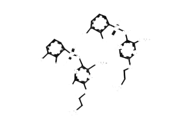 COc1nc(OCCN)cnc1NS(=O)(=O)c1cccc(Cl)c1Cl.COc1nc(SCCN)c(Cl)nc1NS(=O)(=O)c1cccc(Cl)c1Cl